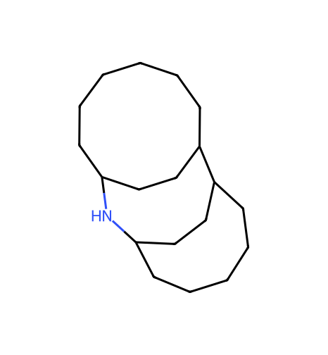 C1CCCC2CCC(CC1)NC1CCCCCC2CC1